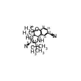 CC(C)(C)C(=NC#N)NC1c2cc(C#N)ccc2OC(C)(C)C1O